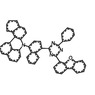 c1ccc(-c2nc(-c3ccc(N4c5ccc6ccccc6c5-c5cccc6cccc4c56)c4ccccc34)nc(-c3cccc4c3oc3ccccc34)n2)cc1